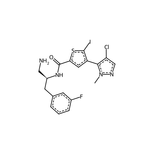 Cn1ncc(Cl)c1-c1cc(C(=O)N[C@H](CN)Cc2cccc(F)c2)sc1I